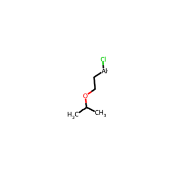 CC(C)OC[CH2][Al][Cl]